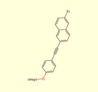 CCCCCCCOc1ccc(C#Cc2ccc3cc(CC)ccc3c2)cc1